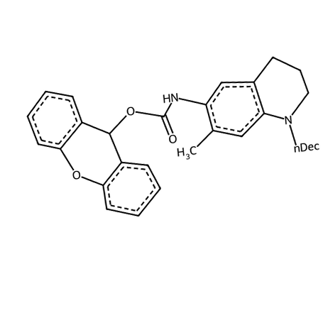 CCCCCCCCCCN1CCCc2cc(NC(=O)OC3c4ccccc4Oc4ccccc43)c(C)cc21